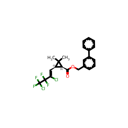 CC1(C)[C@H](C=C(Cl)C(F)(F)C(F)(F)Cl)[C@@H]1C(=O)OCc1cccc(-c2ccccc2)c1